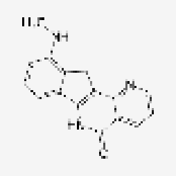 CNc1cccc2c1Cc1c-2[nH]c(=O)c2cccnc12